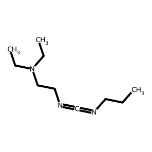 CCCN=C=NCCN(CC)CC